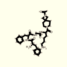 CC(=O)N1CC2(CCN(C(=O)C(CCCCN)NC(=O)CNC(=O)C(Cc3ccccc3)NC(=O)[C@H](N)Cc3ccccc3)CC2)C1